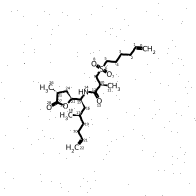 C=CCCCCS(=O)(=O)C[C@@H](C)C(=O)N[C@@H](C[C@H](C)CCC=C)[C@@H]1C[C@@H](C)C(=O)O1